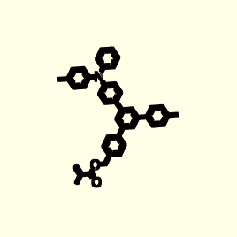 C=C(C)C(=O)OCc1ccc(-c2cc(-c3ccc(C)cc3)cc(-c3ccc(N(c4ccccc4)c4ccc(C)cc4)cc3)c2)cc1